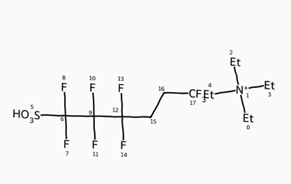 CC[N+](CC)(CC)CC.O=S(=O)(O)C(F)(F)C(F)(F)C(F)(F)CCC(F)(F)F